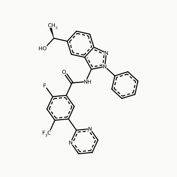 C[C@H](O)c1ccc2nn(-c3ccccc3)c(NC(=O)c3cc(-c4ncccn4)c(C(F)(F)F)cc3F)c2c1